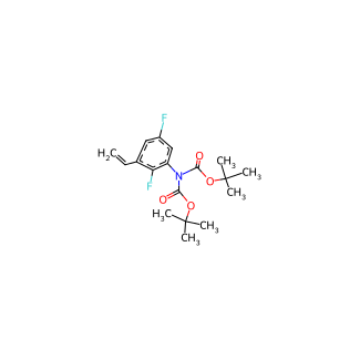 C=Cc1cc(F)cc(N(C(=O)OC(C)(C)C)C(=O)OC(C)(C)C)c1F